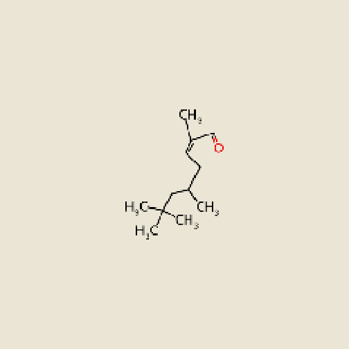 CC(C=O)=CCC(C)CC(C)(C)C